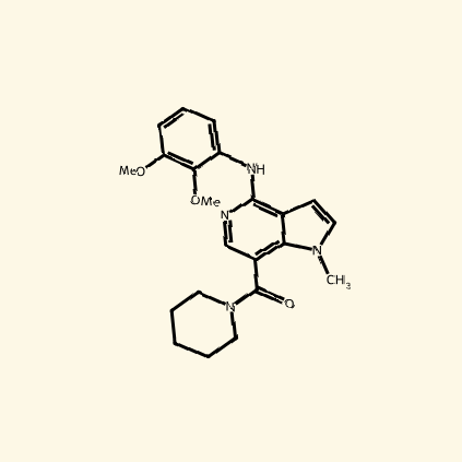 COc1cccc(Nc2ncc(C(=O)N3CCCCC3)c3c2ccn3C)c1OC